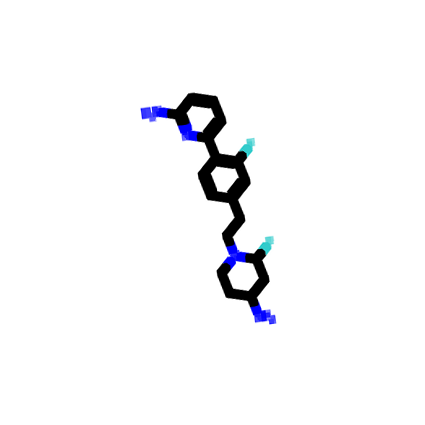 Nc1cccc(-c2ccc(CCN3CCC(N)CC3F)cc2F)n1